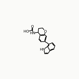 O=C(O)NC1CCOc2cc(-c3cccc4cc[nH]c34)ccc21